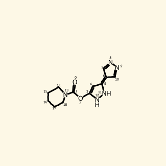 O=C(OC1=CC(=C2C=NN=C2)NN1)N1CCCCC1